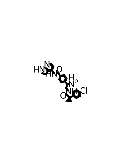 NC(CNC(=O)C1(c2ccc(Cl)cc2)CC1)c1ccc(C(=O)Nc2ccnc3c2CCN3)cc1